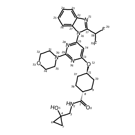 O=C(NCC1(O)CC1)[C@H]1CC[C@H](Oc2cc(-n3c(C(F)F)nc4ccccc43)nc(N3CCOCC3)n2)CC1